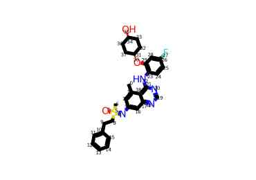 Cc1cc(N=S(C)(=O)CCc2ccccc2)cc2ncnc(Nc3ccc(F)cc3O[C@H]3CC[C@H](O)CC3)c12